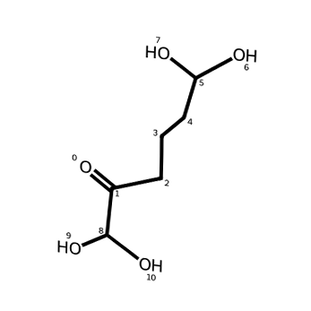 O=C(CCCC(O)O)C(O)O